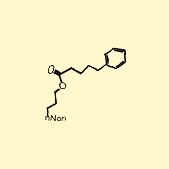 CCCCCCCCCCCCOC(=O)CCCCc1ccccc1